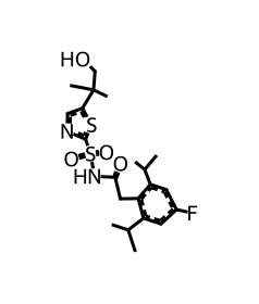 CC(C)c1cc(F)cc(C(C)C)c1CC(=O)NS(=O)(=O)c1ncc(C(C)(C)CO)s1